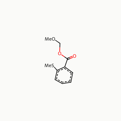 [CH2]OCOC(=O)c1ccccc1SC